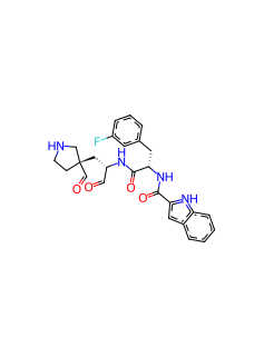 O=C[C@H](C[C@@]1(C=O)CCNC1)NC(=O)[C@H](Cc1cccc(F)c1)NC(=O)c1cc2ccccc2[nH]1